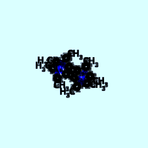 Cc1ccc(N(Nc2ccc3c(c2)C2(c4cc(NN(c5ccc(C)cc5)c5ccc(C)cc5)ccc4-3)c3cc(NN(c4ccc(C)cc4)c4ccc(C)cc4)ccc3-c3ccc(NN(c4ccc(C)cc4)c4ccc(C)cc4)cc32)c2ccc(C)cc2)cc1